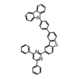 c1ccc(-c2cc(-c3ccccc3)nc(-c3ccc4sc5ccc(-c6ccc(-n7c8ccccc8c8ccccc87)cc6)cc5c4c3)n2)cc1